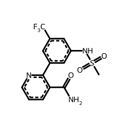 CS(=O)(=O)Nc1cc(-c2ncccc2C(N)=O)cc(C(F)(F)F)c1